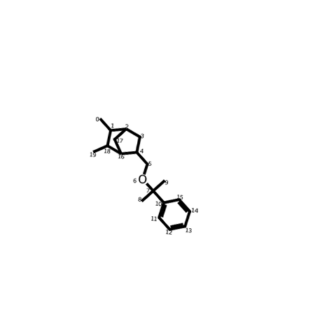 CC1C2CC(COC(C)(C)c3ccccc3)C(C2)C1C